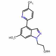 COCCn1ncc2c(-c3ccc(C)cn3)cc(C(=O)O)cc21